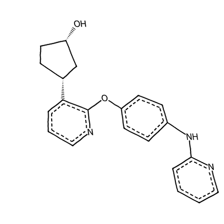 O[C@H]1CC[C@@H](c2cccnc2Oc2ccc(Nc3ccccn3)cc2)C1